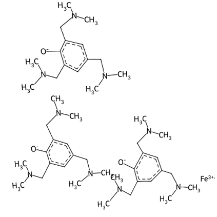 CN(C)Cc1cc(CN(C)C)c([O-])c(CN(C)C)c1.CN(C)Cc1cc(CN(C)C)c([O-])c(CN(C)C)c1.CN(C)Cc1cc(CN(C)C)c([O-])c(CN(C)C)c1.[Fe+3]